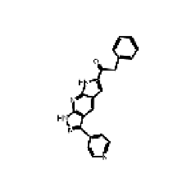 O=C(Cc1ccccc1)c1cc2cc3c(-c4ccncc4)n[nH]c3nc2[nH]1